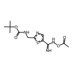 CC(=O)ONC(=N)c1cnc(CNC(=O)OC(C)(C)C)s1